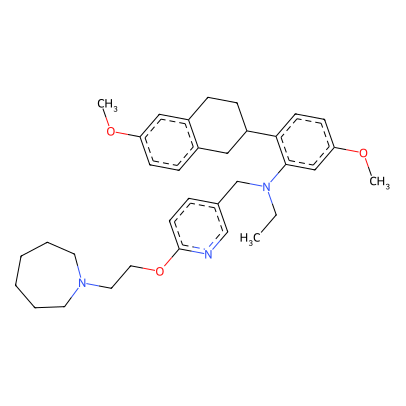 CCN(Cc1ccc(OCCN2CCCCCC2)nc1)c1cc(OC)ccc1C1CCc2cc(OC)ccc2C1